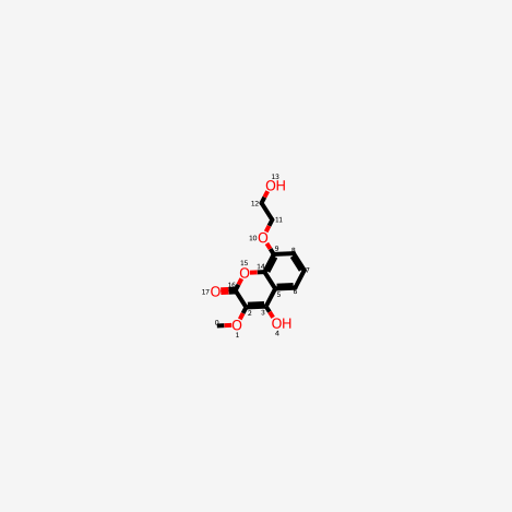 COc1c(O)c2cccc(OCCO)c2oc1=O